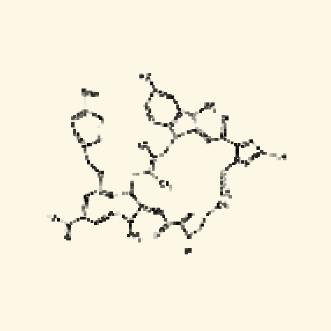 C=Cn1nc(C)cc1C(=O)/N=c1\n(C)c2cc(C)ccc2n1C/C(C)=C(\C)Cn1/c(=N/C(=O)c2cc(C)nn2CC)n(C)c2cc(C(N)=O)cc(OCc3ccc(OC)cc3)c21